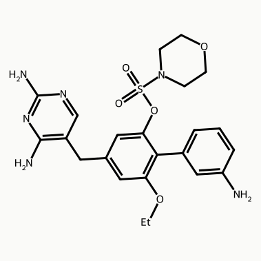 CCOc1cc(Cc2cnc(N)nc2N)cc(OS(=O)(=O)N2CCOCC2)c1-c1cccc(N)c1